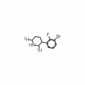 [2H]C1CCC(c2cccc(Br)c2F)C([2H])N1